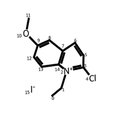 CC[n+]1c(Cl)ccc2cc(OC)ccc21.[I-]